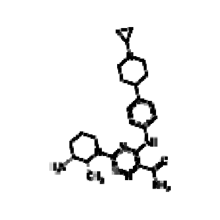 C[C@@H]1[C@H](N)CCCN1c1nnc(C(N)=O)c(Nc2ccc(C3CCN(C4CC4)CC3)cc2)n1